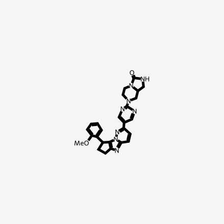 COc1ccccc1C1CCc2nc3ccc(-c4cnc(N5CCN6C(=O)NCC6C5)nc4)nn3c21